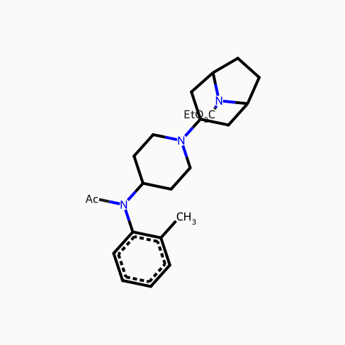 CCOC(=O)N1C2CCC1CC(N1CCC(N(C(C)=O)c3ccccc3C)CC1)C2